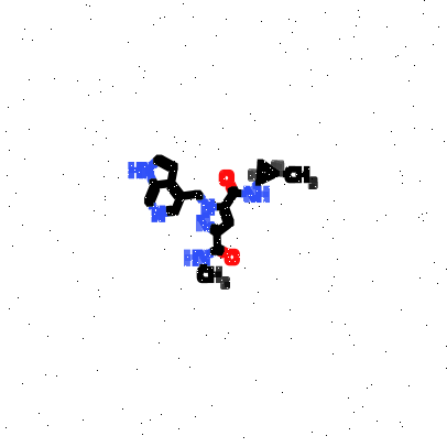 CNC(=O)c1cc(C(=O)N[C@H]2C[C@@H]2C)n(Cc2cncc3[nH]ccc23)n1